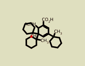 CC(=O)NC1C(C(=O)O)=CC(C2(C)CCCCC2)=CC1(C1(C)CCCCC1)C1(C)CCCCC1